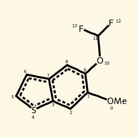 COc1cc2sccc2cc1OC(F)F